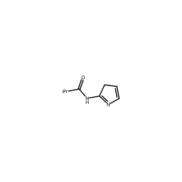 CC(C)C(=O)NC1=NC=CC1